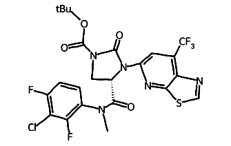 CN(C(=O)[C@@H]1CN(C(=O)OC(C)(C)C)C(=O)N1c1cc(C(F)(F)F)c2ncsc2n1)c1ccc(F)c(Cl)c1F